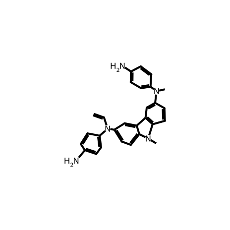 C=CN(c1ccc(N)cc1)c1ccc2c(c1)c1cc(N(C)c3ccc(N)cc3)ccc1n2C